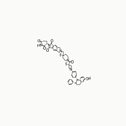 O=C1CCC(N2C(=O)c3cc4c(cc3C2=O)CN(CC2(F)CCN(C(=O)C3(F)CN(c5ccc([C@@H]6c7ccc(O)cc7CC[C@@H]6c6ccccc6)cc5)C3)CC2)C4)C(=O)N1